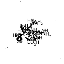 CC(C)[C@H](NC(=O)[C@@H](NC(=O)[C@H](CCCNC(=N)N)NC(=O)[C@H](CCCNC(=N)N)NC(=O)[C@H](Cc1c[nH]c2ccccc12)NC(=O)CN)[C@@H](C)O)C(=O)O